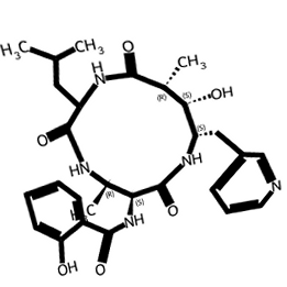 CC(C)CC1NC(=O)[C@H](C)[C@H](O)[C@H](Cc2cccnc2)NC(=O)[C@@H](NC(=O)c2ccccc2O)[C@@H](C)NC1=O